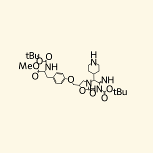 COC(=O)C(Cc1ccc(OCC2CN(C(C(=N)NC(=O)OC(C)(C)C)C3CCNCC3)C(=O)O2)cc1)NC(=O)OC(C)(C)C